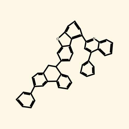 c1ccc(-c2ccc3c(c2)-c2ccccc2C(c2ccc4c(c2)oc2cccc(-c5cc(-c6ccccc6)c6ccccc6n5)c24)C3)cc1